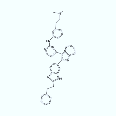 CN(C)CCc1cccc(Nc2nccc(-c3c(-c4ccc5nc(CCc6ccccc6)[nH]c5c4)nc4ccccn34)n2)c1